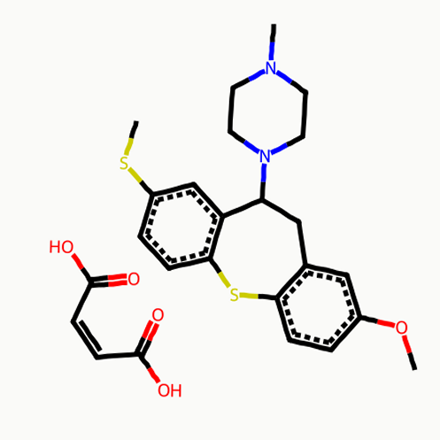 COc1ccc2c(c1)CC(N1CCN(C)CC1)c1cc(SC)ccc1S2.O=C(O)/C=C\C(=O)O